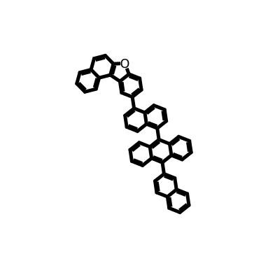 c1ccc2cc(-c3c4ccccc4c(-c4cccc5c(-c6ccc7oc8ccc9ccccc9c8c7c6)cccc45)c4ccccc34)ccc2c1